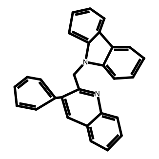 c1ccc(-c2cc3ccccc3nc2Cn2c3ccccc3c3ccccc32)cc1